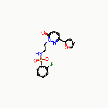 O=c1ccc(-c2ccco2)nn1CCNS(=O)(=O)c1ccccc1F